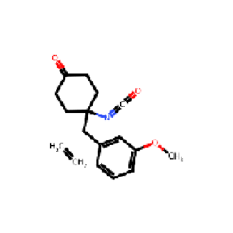 C=C.COc1cccc(CC2(N=C=O)CCC(=O)CC2)c1